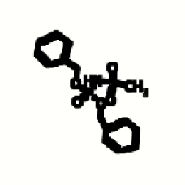 CS(=O)(=O)NP(=O)(OCc1ccccc1)OCc1ccccc1